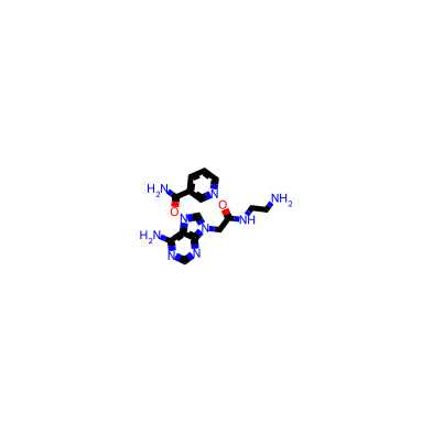 NC(=O)c1cccnc1.NCCNC(=O)Cn1cnc2c(N)ncnc21